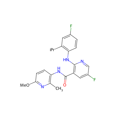 COc1ccc(NC(=O)c2cc(F)cnc2Nc2ccc(F)cc2C(C)C)c(C)n1